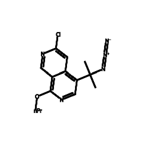 [CH2]CCOc1ncc(C(C)(C)N=[N+]=[N-])c2cc(Cl)ncc12